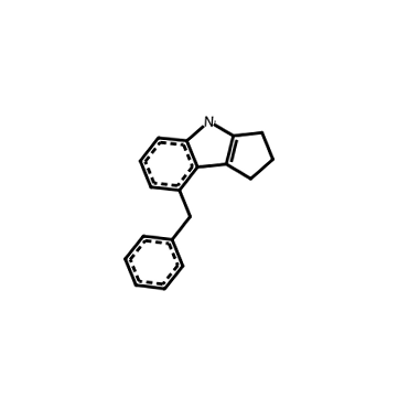 c1ccc(Cc2cccc3c2C2=C(CCC2)[N]3)cc1